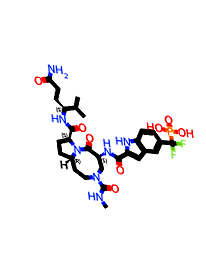 CNC(=O)N1CC[C@H]2CC[C@@H](C(=O)N[C@@H](CCC(N)=O)C(C)C)N2C(=O)[C@@H](NC(=O)c2cc3cc(C(F)(F)P(=O)(O)O)ccc3[nH]2)C1